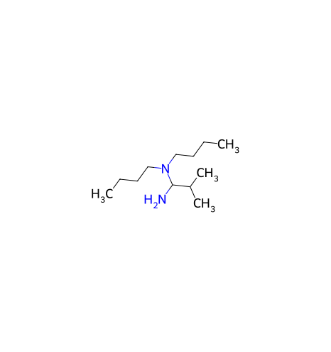 CCCCN(CCCC)C(N)C(C)C